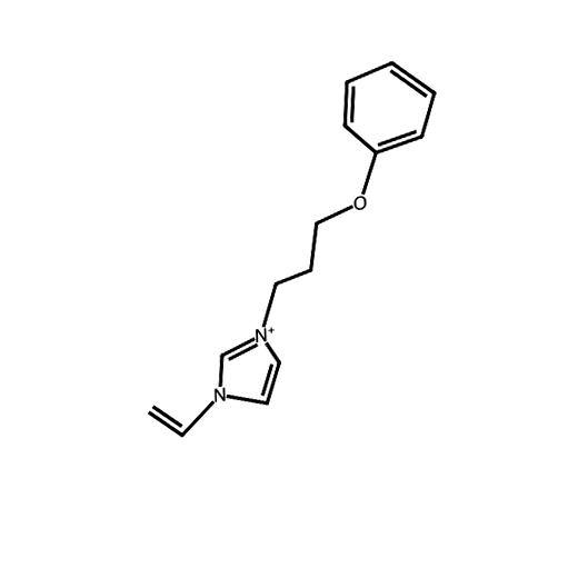 C=Cn1cc[n+](CCCOc2ccccc2)c1